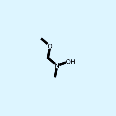 COCN(C)O